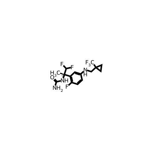 C[C@](NC(N)=O)(c1cc(NCC2(C(F)(F)F)CC2)ccc1F)C(F)F